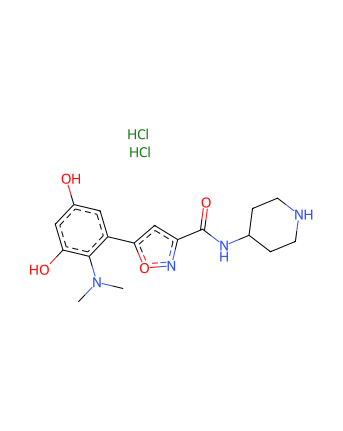 CN(C)c1c(O)cc(O)cc1-c1cc(C(=O)NC2CCNCC2)no1.Cl.Cl